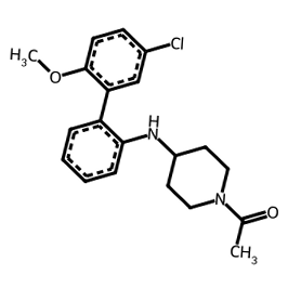 COc1ccc(Cl)cc1-c1ccccc1NC1CCN(C(C)=O)CC1